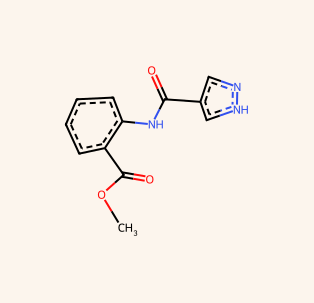 COC(=O)c1ccccc1NC(=O)c1cn[nH]c1